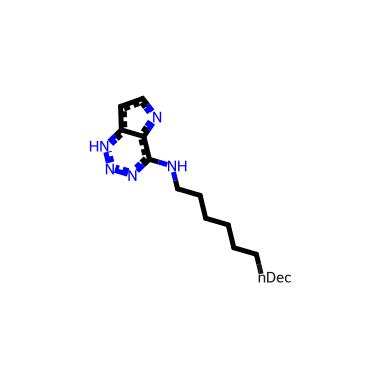 CCCCCCCCCCCCCCCCNc1nn[nH]c2ccnc1-2